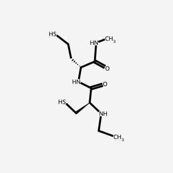 CCN[C@@H](CS)C(=O)N[C@H](CCS)C(=O)NC